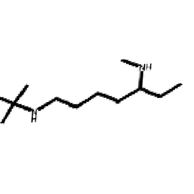 CCC(CCCCNC(C)(C)C)NC